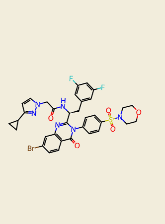 O=C(Cn1ccc(C2CC2)n1)N[C@@H](Cc1cc(F)cc(F)c1)c1nc2cc(Br)ccc2c(=O)n1-c1ccc(S(=O)(=O)N2CCOCC2)cc1